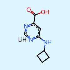 O=C(O)c1cc(NC2CCC2)ncn1.[LiH]